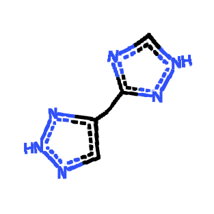 c1nc(-c2cn[nH]n2)n[nH]1